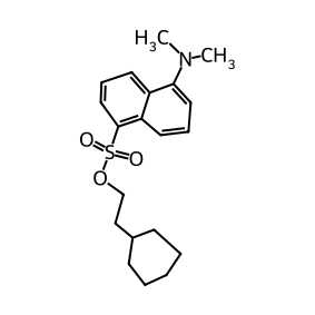 CN(C)c1cccc2c(S(=O)(=O)OCCC3CCCCC3)cccc12